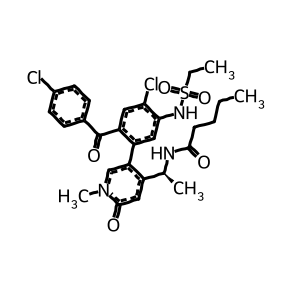 CCCCC(=O)N[C@@H](C)c1cc(=O)n(C)cc1-c1cc(NS(=O)(=O)CC)c(Cl)cc1C(=O)c1ccc(Cl)cc1